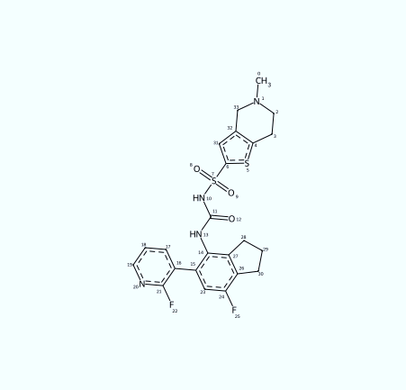 CN1CCc2sc(S(=O)(=O)NC(=O)Nc3c(-c4cccnc4F)cc(F)c4c3CCC4)cc2C1